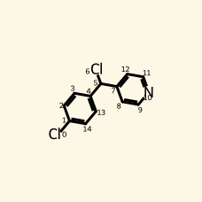 Clc1ccc(C(Cl)c2ccncc2)cc1